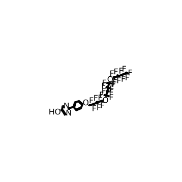 Oc1cnc(-c2ccc(OCC(F)(F)C(F)(F)C(F)(F)OC(F)(F)C(F)(F)C(F)(F)C(F)(F)OC(F)(F)C(F)(F)C(F)(F)C(F)(F)F)cc2)nc1